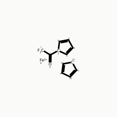 O=C([c-]1cccc1)C(F)(F)F.[Fe+2].c1cc[cH-]c1